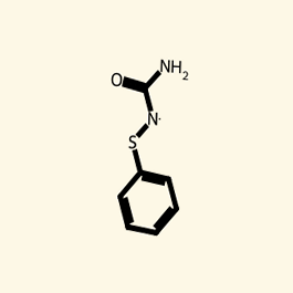 NC(=O)[N]Sc1ccccc1